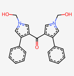 O=C(c1cn(CO)cc1-c1ccccc1)c1cn(CO)cc1-c1ccccc1